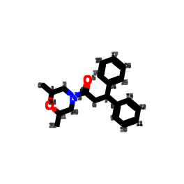 CC1CN(C(=O)CC(c2ccccc2)c2ccccc2)CC(C)O1